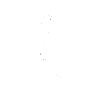 N#CCCSC(=S)NCCCc1cccnc1